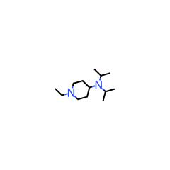 CCN1CCC(N(C(C)C)C(C)C)CC1